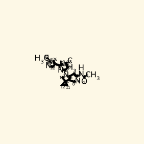 CC(=O)Nc1cc2c(cn1)C1(CC1)CN2c1cc(C)nc(-c2cnn(C)c2)n1